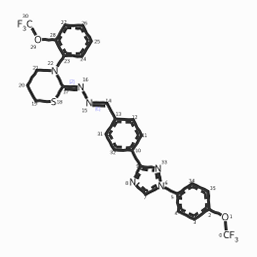 FC(F)(F)Oc1ccc(-n2cnc(-c3ccc(/C=N/N=C4\SCCCN4c4ccccc4OC(F)(F)F)cc3)n2)cc1